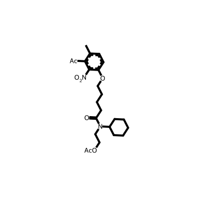 CC(=O)OCCN(C(=O)CCCCOc1ccc(C)c(C(C)=O)c1[N+](=O)[O-])C1CCCCC1